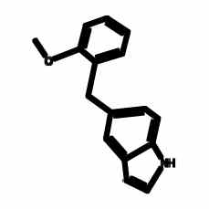 COc1ccccc1Cc1ccc2[nH]c[c]c2c1